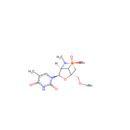 CCCCOC[C@@]12CS(=O)(=O)N(C)[C@@H](C1OCCCC)[C@H](n1cc(C)c(=O)[nH]c1=O)O2